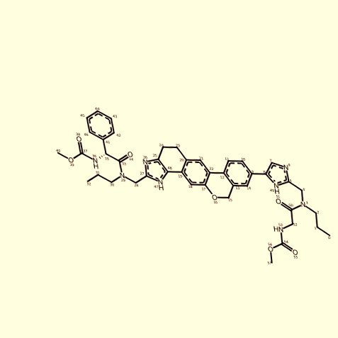 CCCN(Cc1ncc(-c2ccc3c(c2)COc2cc4c(cc2-3)CCc2nc(CN(CCC)C(=O)[C@H](NC(=O)OC)c3ccccc3)[nH]c2-4)[nH]1)C(=O)CNC(=O)OC